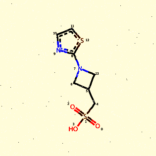 O=S(=O)(O)CC1CN(c2nccs2)C1